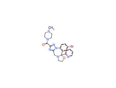 CN1CCN(C(=O)c2nc3n(n2)-c2ccc(Br)cc2C2(c4ccccn4)OCCN2C3)CC1